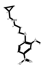 COc1cc([N+](=O)[O-])ccc1OCCCNCC1CC1